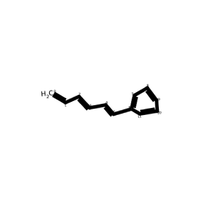 C=CC=CC=Cc1cc[c]cc1